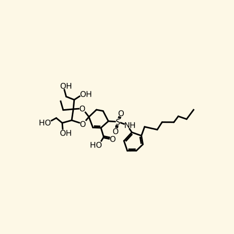 CCCCCCCc1ccccc1NS(=O)(=O)C1CCC2(C=C1C(=O)O)OC(C(O)CO)C(CC)(C(O)CO)O2